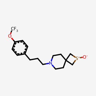 [O-][S+]1CC2(CCN(CCCc3ccc(OC(F)(F)F)cc3)CC2)C1